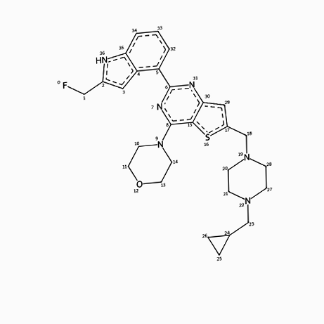 FCc1cc2c(-c3nc(N4CCOCC4)c4sc(CN5CCN(CC6CC6)CC5)cc4n3)cccc2[nH]1